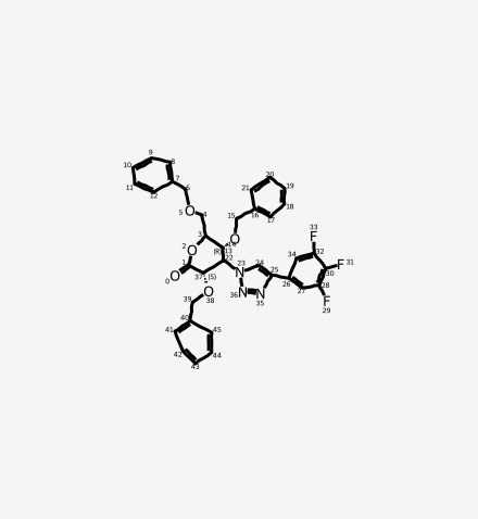 O=C1OC(COCc2ccccc2)[C@H](OCc2ccccc2)C(n2cc(-c3cc(F)c(F)c(F)c3)nn2)[C@@H]1OCc1ccccc1